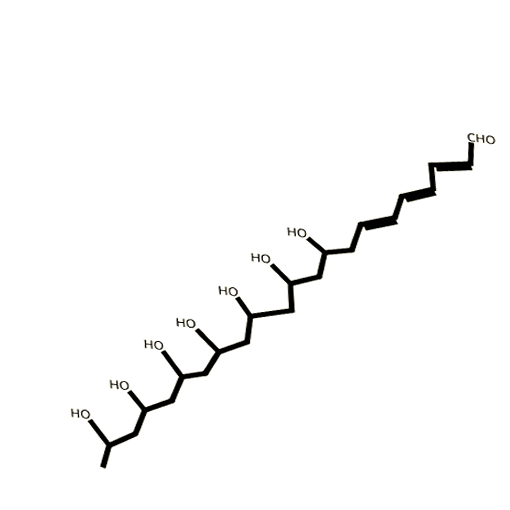 CC(O)CC(O)CC(O)CC(O)CC(O)CC(O)CC(O)CC=CC=CC=CC=O